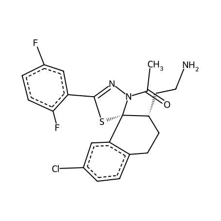 CC(=O)N1N=C(c2cc(F)ccc2F)S[C@]12c1cc(Cl)ccc1CC[C@H]2CCN